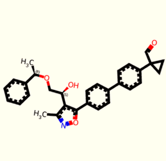 Cc1noc(-c2ccc(-c3ccc(C4(C=O)CC4)cc3)cc2)c1[C@H](O)CO[C@H](C)c1ccccc1